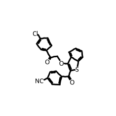 N#Cc1ccc(C(=O)c2sc3ccccc3c2OCC(=O)c2ccc(Cl)cc2)cc1